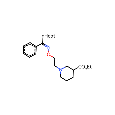 CCCCCCCC(=NOCCN1CCCC(C(=O)OCC)C1)c1ccccc1